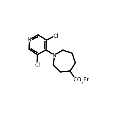 CCOC(=O)C1CCCN(c2c(Cl)cncc2Cl)CC1